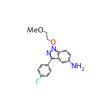 COCCOn1nc(-c2ccc(F)cc2)c2cc(N)ccc21